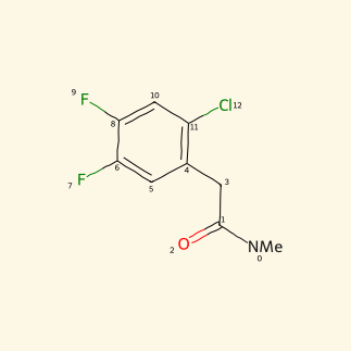 CNC(=O)Cc1cc(F)c(F)cc1Cl